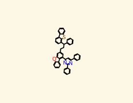 c1ccc(-c2cc(-c3cc(CCC(c4ccccc4)c4cccc5c4sc4ccccc45)cc4oc5ccccc5c34)nc(-c3ccccc3)n2)cc1